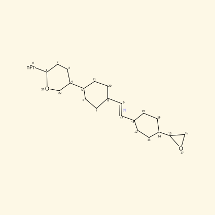 CCCC1CCC(C2CCC(/C=C/C3CCC(C4CO4)CC3)CC2)CO1